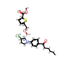 CCCCCC(=O)c1ccc(N2CCC(Cl)[C@@H]2COCc2ccc(C(=O)OC)s2)cc1